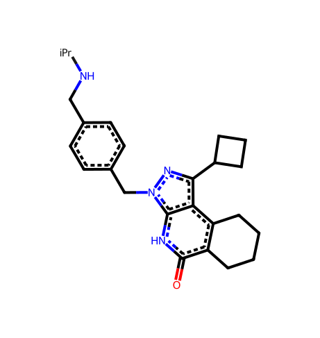 CC(C)NCc1ccc(Cn2nc(C3CCC3)c3c4c(c(=O)[nH]c32)CCCC4)cc1